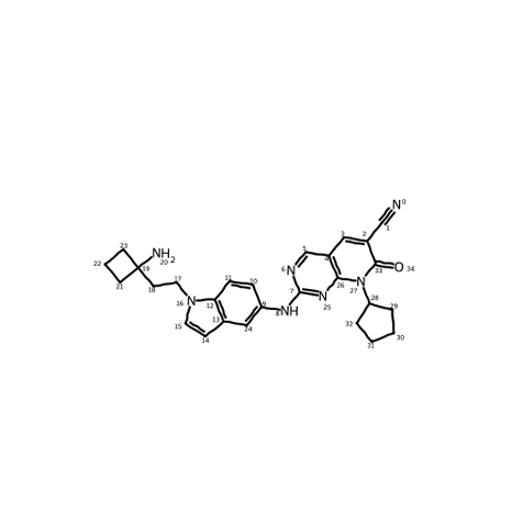 N#Cc1cc2cnc(Nc3ccc4c(ccn4CCC4(N)CCC4)c3)nc2n(C2CCCC2)c1=O